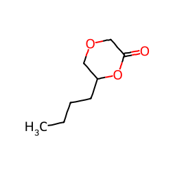 CCCCC1COCC(=O)O1